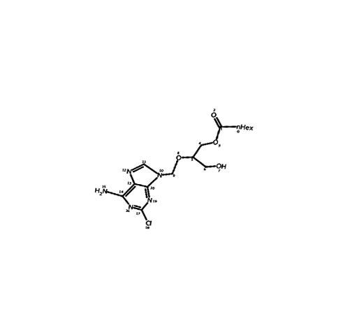 CCCCCCC(=O)OCC(CO)OCn1cnc2c(N)nc(Cl)nc21